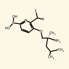 CC(C)C[C@](C)(N)COc1ccc(B(O)O)nc1C(F)F